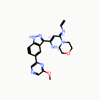 C=C/N=C(\C=C(/N)c1n[nH]c2c#cc(-c3cncc(OC)n3)cc12)N1CCOCC1